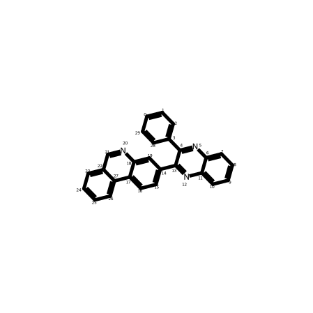 c1ccc(-c2nc3ccccc3nc2-c2ccc3c(c2)ncc2ccccc23)cc1